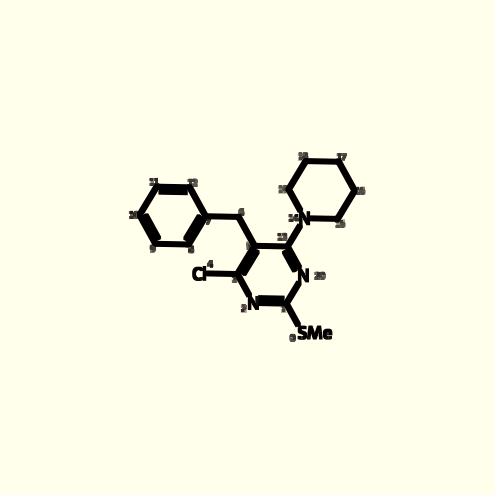 CSc1nc(Cl)c(Cc2ccccc2)c(N2CCCCC2)n1